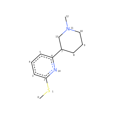 CSc1cccc(C2CCCN(C)C2)n1